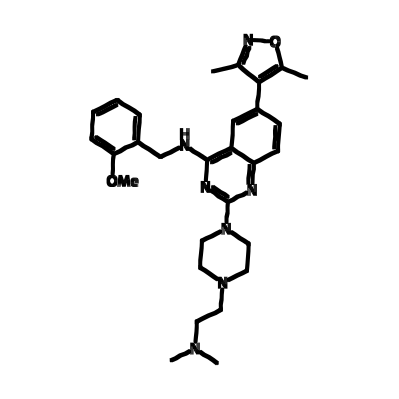 COc1ccccc1CNc1nc(N2CCN(CCN(C)C)CC2)nc2ccc(-c3c(C)noc3C)cc12